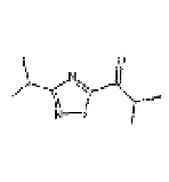 CC(C)C(=O)c1nc(C(C)C)ns1